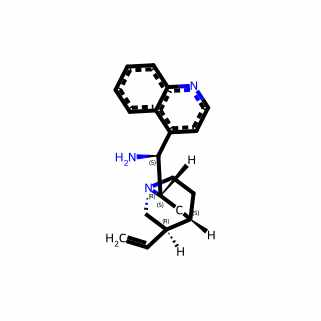 C=C[C@H]1C[N@]2CC[C@H]1C[C@H]2[C@@H](N)c1ccnc2ccccc12